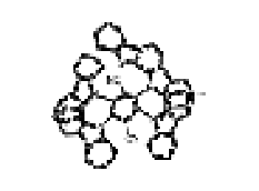 Cc1cc(C)c2c(c1)c1ccc3c4ccccc4sc3c1n2-c1c(C#N)c(-n2c3ccccc3c3ccccc32)c(-n2c3ccccc3c3ccccc32)c(C#N)c1-n1c2ccccc2c2ccccc21